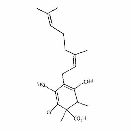 CC(C)=CCCC(C)=CCC1=C(O)C(C)C(C)(C(=O)O)C(Cl)=C1O